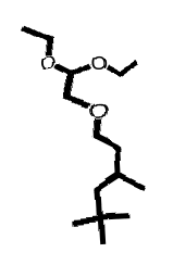 CCOC(COCCC(C)CC(C)(C)C)OCC